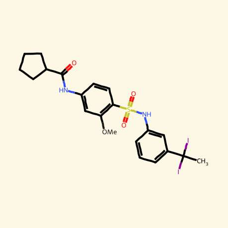 COc1cc(NC(=O)C2CCCC2)ccc1S(=O)(=O)Nc1cccc(C(C)(I)I)c1